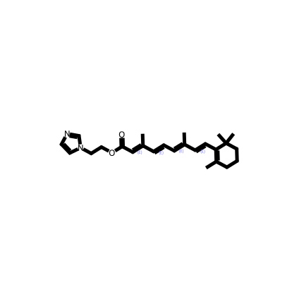 CC1=C(/C=C/C(C)=C/C=C/C(C)=C/C(=O)OCCn2ccnc2)C(C)(C)CCC1